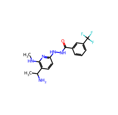 CNc1nc(NNC(=O)c2cccc(C(F)(F)F)c2)ccc1C(C)N